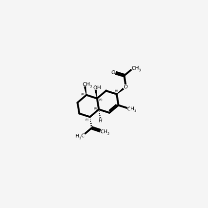 C=C(C)[C@@H]1CC[C@@H](C)[C@]2(O)[CH][C@@H](OC(C)=O)C(C)=C[C@@H]12